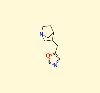 c1ncc(CC2CN3CCC2C3)o1